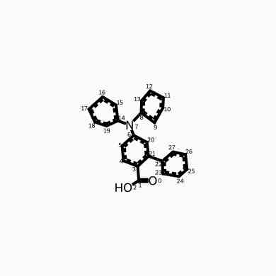 O=C(O)c1ccc(N(c2ccccc2)c2ccccc2)cc1-c1ccccc1